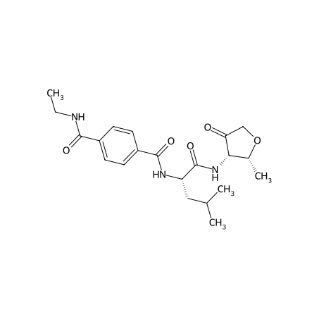 CCNC(=O)c1ccc(C(=O)N[C@@H](CC(C)C)C(=O)N[C@@H]2C(=O)CO[C@@H]2C)cc1